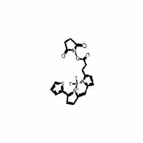 O=C(CCc1ccc2n1[B-](F)(F)[N+]1=C(c3cccs3)C=CC1=C2)ON1C(=O)CCC1=O